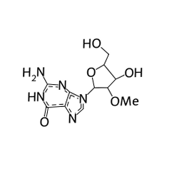 COC1C(O)C(CO)OC1n1cnc2c(=O)[nH]c(N)nc21